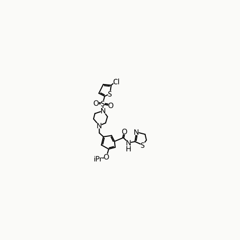 CC(C)Oc1cc(CN2CCN(S(=O)(=O)c3ccc(Cl)s3)CC2)cc(C(=O)NC2=NCCS2)c1